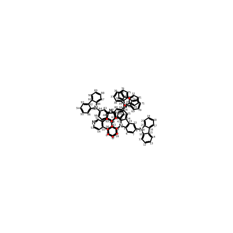 c1ccc(-n2c3ccc(-n4c5ccccc5c5ccccc54)cc3c3cc(-n4c5ccccc5c5ccccc54)ccc32)c(-c2ccncc2-c2cnccc2-c2ccccc2-n2c3ccc(-n4c5ccccc5c5ccccc54)cc3c3cc(-n4c5ccccc5c5ccccc54)ccc32)c1